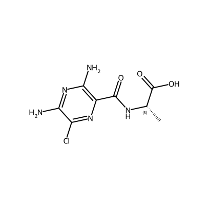 C[C@H](NC(=O)c1nc(Cl)c(N)nc1N)C(=O)O